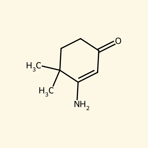 CC1(C)CCC(=O)C=C1N